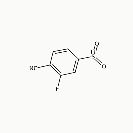 N#Cc1ccc([SH](=O)=O)cc1F